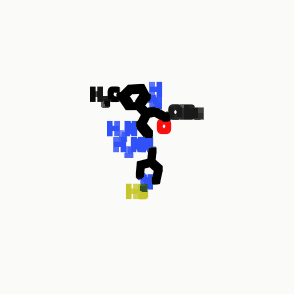 Cc1ccc2[nH]c(C(=O)OCC(C)C)c(/C(N)=C/N(N)CC3CCN(S)CC3)c2c1